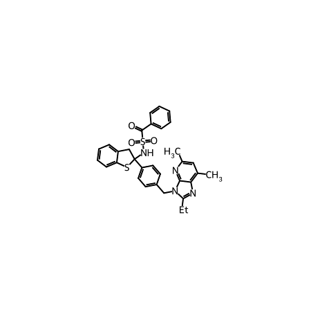 CCc1nc2c(C)cc(C)nc2n1Cc1ccc(C2(NS(=O)(=O)C(=O)c3ccccc3)Cc3ccccc3S2)cc1